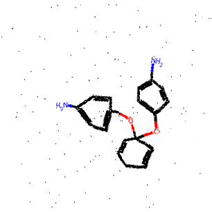 Nc1ccc(OC2(Oc3ccc(N)cc3)C=CCC=C2)cc1